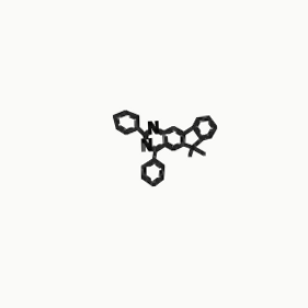 CC1(C)c2ccccc2-c2cc3nc(-c4ccccc4)nc(-c4ccccc4)c3cc21